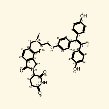 CCC(=C(c1ccc(O)cc1)c1ccc(OCCN(C)Cc2ccc3c(c2F)CN(C2CCC(=O)NC2=O)C3=O)cc1)c1ccc(O)cc1